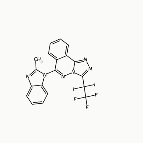 Cc1nc2ccccc2n1-c1nn2c(C(I)(I)C(F)(F)F)nnc2c2ccccc12